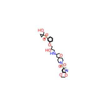 O=S(=O)(c1cnc2c(c1)OCCO2)N1CCC2(CC1)C[C@@H](NCC(O)COc1cccc(S(=O)(=O)C3(CO)CC3)c1)CO2